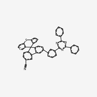 N#Cc1ccc2c(c1)-c1cc(-c3cccc(-c4nc(-c5ccccc5)nc(-c5ccccc5)n4)c3)ccc1C21c2ccccc2Sc2ccccc21